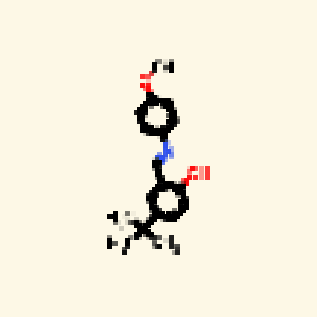 COc1ccc(N=Cc2cc(C(C)(C)C)ccc2O)cc1